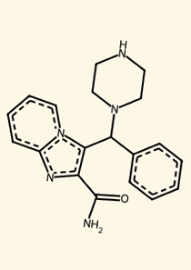 NC(=O)c1nc2ccccn2c1C(c1ccccc1)N1CCNCC1